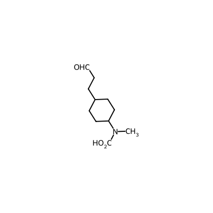 CN(C(=O)O)C1CCC(CCC=O)CC1